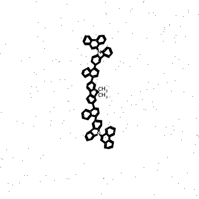 CC1(C)c2cc(-c3ccc(-c4ccc5c(c4)c4ccccc4n5-c4cc5ccccc5c5ccccc45)c4ccccc34)ccc2-c2ccc(-c3ccc(C4C=c5c(n(-c6cc7ccccc7c7ccccc67)c6ccccc56)=CC4)c4ccccc34)cc21